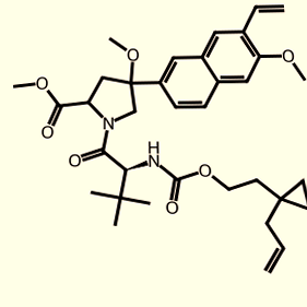 C=CCC1(CCOC(=O)N[C@H](C(=O)N2CC(OC)(c3ccc4cc(OC)c(C=C)cc4c3)CC2C(=O)OC)C(C)(C)C)CC1